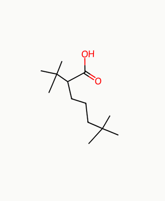 CC(C)(C)CCCC(C(=O)O)C(C)(C)C